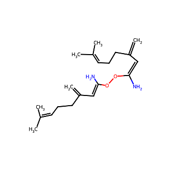 C=C(C=C(N)OOC(N)=CC(=C)CCC=C(C)C)CCC=C(C)C